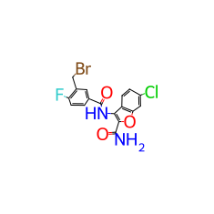 NC(=O)c1oc2cc(Cl)ccc2c1NC(=O)c1ccc(F)c(CBr)c1